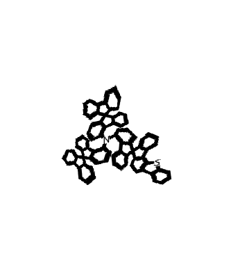 c1ccc2c(c1)-c1ccccc1C21c2ccccc2-c2c(N(c3cccc4c3-c3ccccc3C43c4ccccc4-c4ccccc43)c3cccc4c3-c3ccccc3C43c4ccccc4-c4c3ccc3c4sc4ccccc43)cccc21